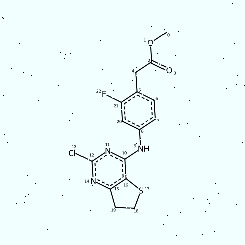 COC(=O)Cc1ccc(Nc2nc(Cl)nc3c2SCC3)cc1F